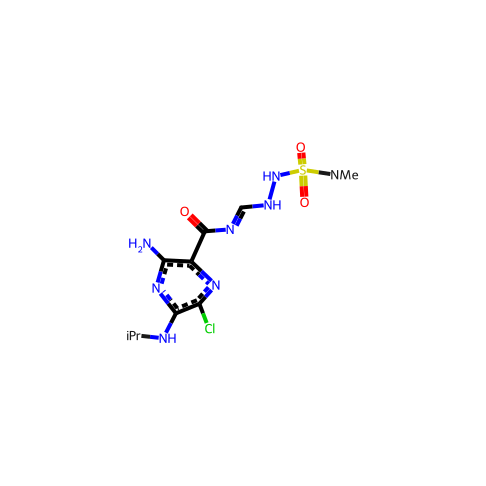 CNS(=O)(=O)NNC=NC(=O)c1nc(Cl)c(NC(C)C)nc1N